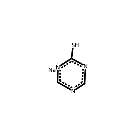 Sc1ncncn1.[Na]